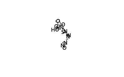 CN1CCN(CCCn2cc(-c3csc(CNC(=O)C4(CC(=O)O)Cc5ccccc5C4)n3)cn2)CC1=O